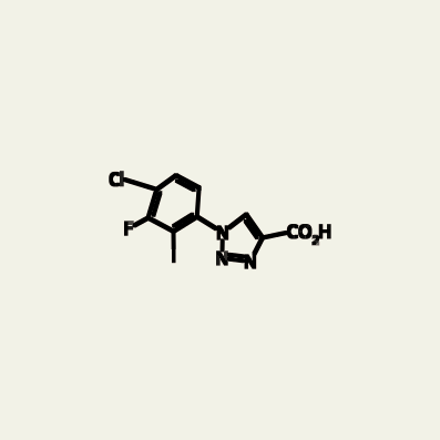 O=C(O)c1cn(-c2ccc(Cl)c(F)c2I)nn1